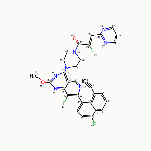 C#Cc1cccc2c(F)ccc(-c3ncc4c(N5CCN(C(=O)/C(F)=C/c6ncccn6)CC5)nc(OC)nc4c3F)c12